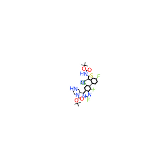 CC(C)(C)OC(=O)Nc1sc2c(F)ccc(-c3c(Cl)cc4c(C5CNCCN5C(=O)OC(C)(C)C)nc(F)nc4c3F)c2c1C#N